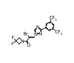 O=C(C(Br)=Cn1cnc(-c2cc(C(F)(F)F)cc(C(F)(F)F)c2)n1)N1CC(F)(F)C1